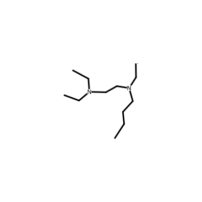 [CH2]CN(CCCC)CCN(CC)CC